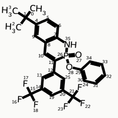 CC(C)(C)c1ccc2c(c1)C=C(c1cc(C(F)(F)F)cc(C(F)(F)F)c1)P(=O)(Oc1ccccc1)N2